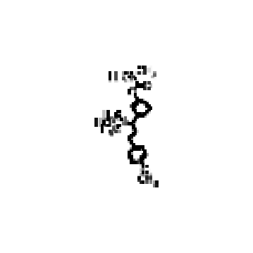 COc1ccc(CCC(c2cccc(OC(=O)N(C)C)c2)N(C)C)cc1.Cl